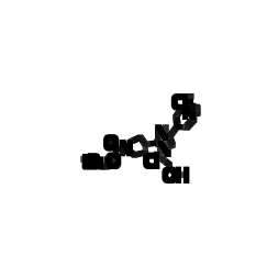 CC(C)(C)OC(=O)N1CCC(c2nc(-c3ccnc(C(F)(F)F)c3)cn2CCO)C(Cl)C1